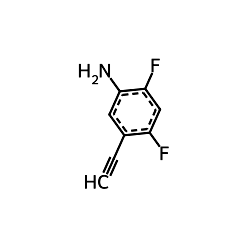 C#Cc1cc(N)c(F)cc1F